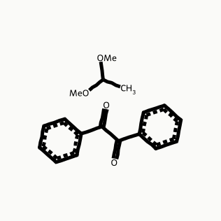 COC(C)OC.O=C(C(=O)c1ccccc1)c1ccccc1